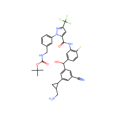 CC(C)(C)OC(=O)NCc1cccc(-n2nc(C(F)(F)F)cc2C(=O)Nc2cc(C(O)c3cc(C#N)cc(C4CC4CN)c3)ccc2F)c1